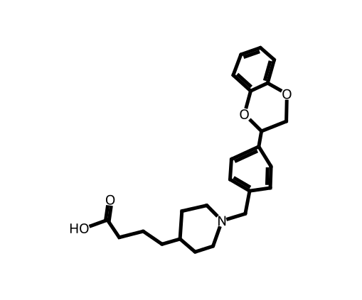 O=C(O)CCCC1CCN(Cc2ccc(C3COc4ccccc4O3)cc2)CC1